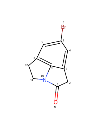 O=C1Cc2cc(Br)cc3c2N1CC3